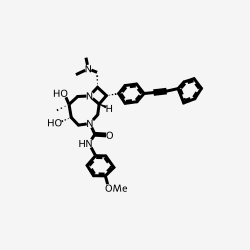 COc1ccc(NC(=O)N2C[C@H]3[C@@H](c4ccc(C#Cc5ccccc5)cc4)[C@@H](CN(C)C)N3C[C@](C)(O)[C@@H](O)C2)cc1